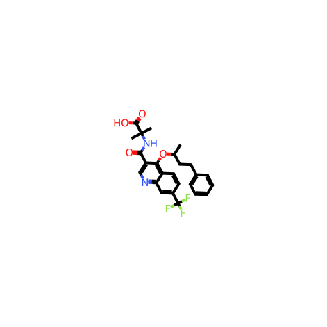 CC(CCc1ccccc1)Oc1c(C(=O)NC(C)(C)C(=O)O)cnc2cc(C(F)(F)F)ccc12